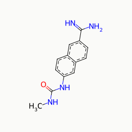 CNC(=O)Nc1ccc2cc(C(=N)N)ccc2c1